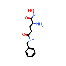 N[C@@H](CCC(=O)NCc1ccccc1)C(=O)NO